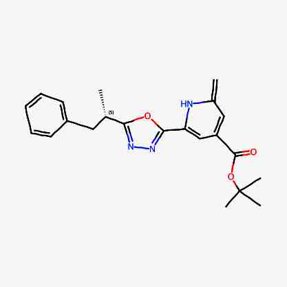 C=C1C=C(C(=O)OC(C)(C)C)C=C(c2nnc([C@@H](C)Cc3ccccc3)o2)N1